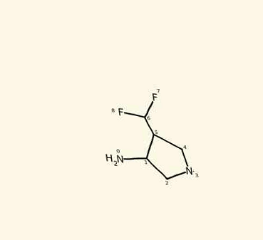 NC1C[N]CC1C(F)F